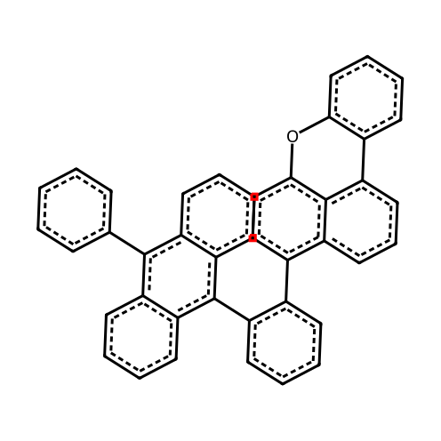 c1ccc(-c2c3ccccc3c(-c3ccccc3-c3ccc4c5c(cccc35)-c3ccccc3O4)c3ccccc23)cc1